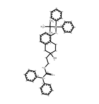 CC(C)(C)[Si](Oc1cccc2c1CCC(O)(CCOC(=O)N(c1ccccc1)c1ccccc1)C2)(c1ccccc1)c1ccccc1